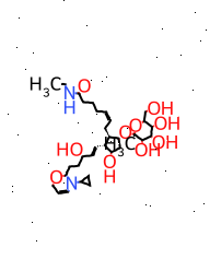 CCNC(=O)CCC/C=C\C[C@@H]1[C@@H](/C=C/[C@@H](O)CCC2OCC=CN2C2CC2)[C@H](O)C[C@@H]1O[C@@]1(C)OC(CO)[C@@H](O)C(O)C1O